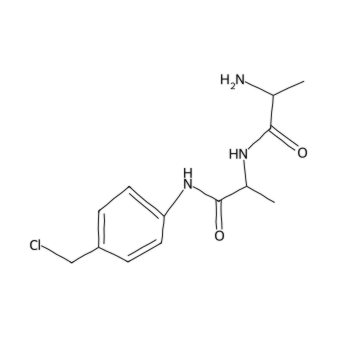 CC(N)C(=O)NC(C)C(=O)Nc1ccc(CCl)cc1